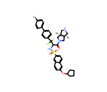 O=C(C(NS(=O)(=O)c1ccc2cc(OC3CCCC3)ccc2c1)C(F)(F)c1ccc(-c2ccc(Cl)cc2)cc1)N1C[C@H]2CNC[C@H]2C1